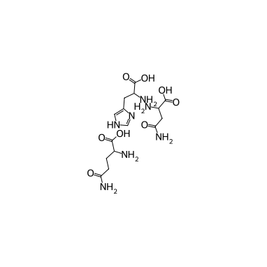 NC(=O)CC(N)C(=O)O.NC(=O)CCC(N)C(=O)O.NC(Cc1c[nH]cn1)C(=O)O